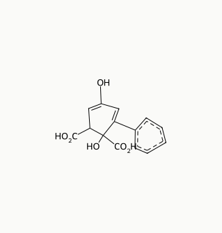 O=C(O)C1C=C(O)C=C(c2ccccc2)C1(O)C(=O)O